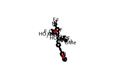 COC(=O)NC(C(=O)NC(Cc1ccc(C#Cc2ccc(N3CC4CC(C3)N4C3COC3)nc2)cc1)C(O)CN(Cc1c(F)cc(-c2cnn(C(F)F)c2)cc1F)NC(=O)C(NC(=O)O)C(C)(C)C(F)(F)F)C(C)(C)C(F)(F)F